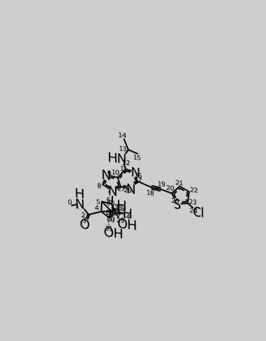 CNC(=O)C12C3[C@@H](n4cnc5c(NC(C)C)nc(C#Cc6ccc(Cl)s6)nc54)[C@H](O)[C@]1(O)[C@@H]32